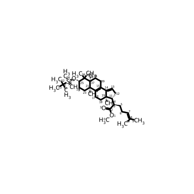 COC(=O)[C@H](CCC=C(C)C)[C@H]1CC=C2C3=C(CC[C@@]21C)[C@@]1(C)CC[C@H](O[Si](C)(C)C(C)(C)C)C(C)(C)[C@H]1CC3